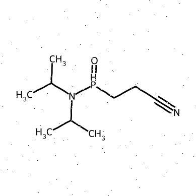 CC(C)N(C(C)C)[PH](=O)CCC#N